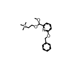 COC(OCC[Si](C)(C)C)c1cccc(OCc2ccccc2)n1